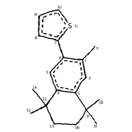 Cc1cc2c(cc1-c1cccs1)C(C)(C)CCC2(C)C